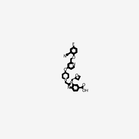 N#Cc1cc(F)ccc1OCc1cc(OC2CCN(Cc3nc4ccc(C(=O)O)cc4n3C[C@@H]3CCO3)CC2)ccn1